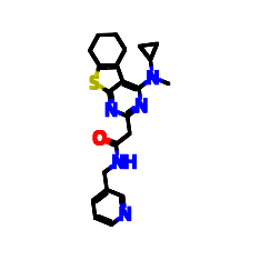 CN(c1nc(CC(=O)NCc2cccnc2)nc2sc3c(c12)CCCC3)C1CC1